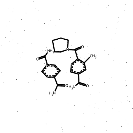 Cc1cc(C(N)=O)ccc1C(=O)N1CCCCC1.NC(=O)c1ccc(C(N)=O)cc1